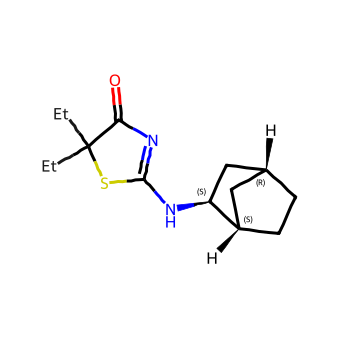 CCC1(CC)SC(N[C@H]2C[C@@H]3CC[C@H]2C3)=NC1=O